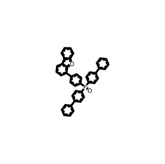 O=P(c1ccc(-c2ccccc2)cc1)(c1ccc(-c2ccccc2)cc1)c1ccc(-c2cccc3c2oc2ccccc23)cc1